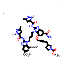 CCn1nc(C)cc1C(=O)Nc1nc2cc(C(=O)O)cc(OC)c2n1CC=CCn1c(NC(=O)c2cc(C)nn2CC)nc2cc(C(N)=O)cc(OCC#CCC3CCN(C(=O)OC(C)(C)C)C3)c21